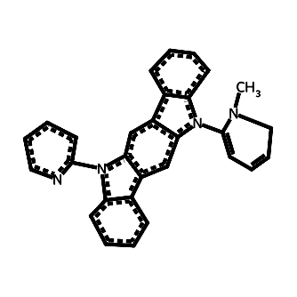 CN1CC=CC=C1n1c2ccccc2c2cc3c(cc21)c1ccccc1n3-c1ccccn1